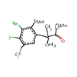 COC(=O)C(C)(C)c1cc([N+](=O)[O-])c(F)c(Br)c1OC